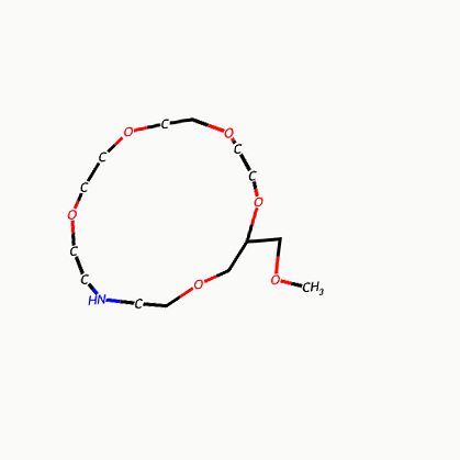 COCC1COCCNCCOCCOCCOCCO1